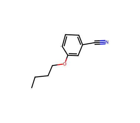 CCCCOc1[c]ccc(C#N)c1